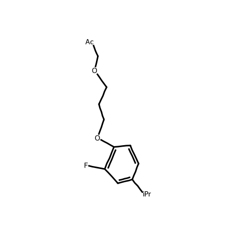 CC(=O)COCCCOc1ccc(C(C)C)cc1F